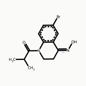 CC(C)C(=O)N1CC/C(=N/O)c2cc(Br)ccc21